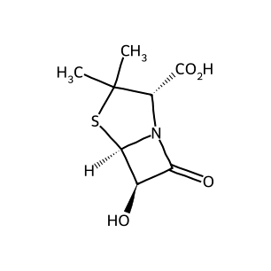 CC1(C)S[C@@H]2[C@H](O)C(=O)N2[C@H]1C(=O)O